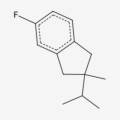 CC(C)C1(C)Cc2ccc(F)cc2C1